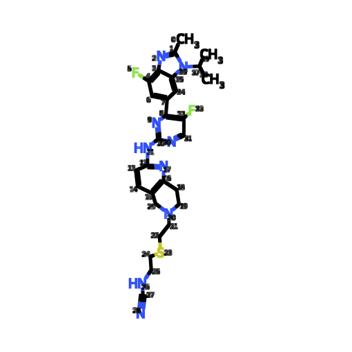 Cc1nc2c(F)cc(-c3nc(Nc4ccc5c(n4)CCN(CCSCCNC#N)C5)ncc3F)cc2n1C(C)C